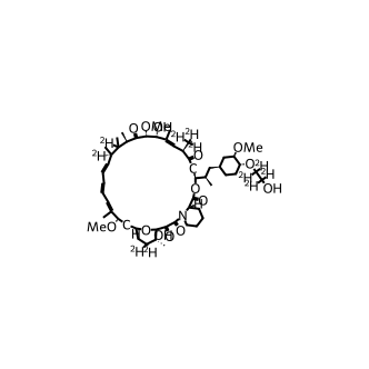 [2H]C([2H])([2H])[C@@H]1/C=C(\C)[C@@H](O)[C@@H](OC)C(=O)[C@H](C)C([2H])(C)[C@]([2H])(C)/C=C/C=C/C=C(\C)[C@@H](OC)C[C@@H]2CC([2H])([2H])[C@@H](C)[C@@](O)(O2)C(=O)C(=O)N2CCCC[C@H]2C(=O)O[C@H]([C@H](C)C[C@@H]2CC[C@@H](OC([2H])([2H])C([2H])([2H])O)[C@H](OC)C2)CC1=O